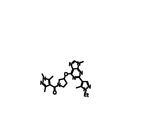 CCn1ncc(-c2nc(OC3CCN(C(=O)c4c(C)nn(C)c4C)C3)c3ncn(C)c3n2)c1C